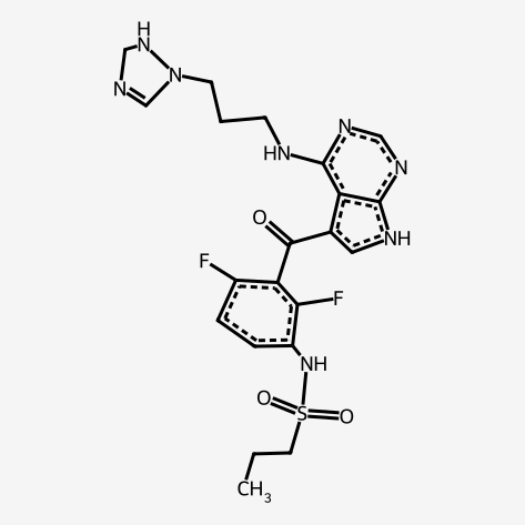 CCCS(=O)(=O)Nc1ccc(F)c(C(=O)c2c[nH]c3ncnc(NCCCN4C=NCN4)c23)c1F